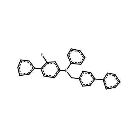 Fc1cc(N(Cc2ccc(-c3ccccc3)cc2)c2ccccc2)ccc1-c1ccccc1